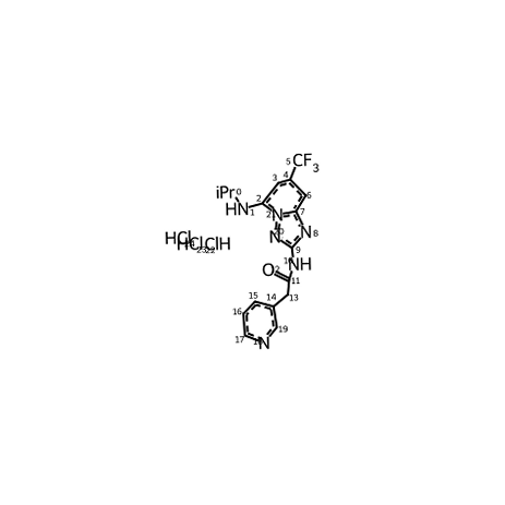 CC(C)Nc1cc(C(F)(F)F)cc2nc(NC(=O)Cc3cccnc3)nn12.Cl.Cl.Cl